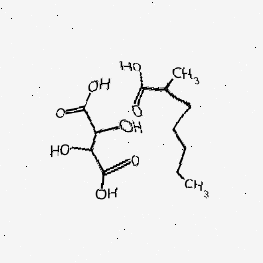 CCCCCC(C)C(=O)O.O=C(O)C(O)C(O)C(=O)O